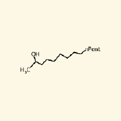 [CH2]CCCCCCCCCCCC(C)O